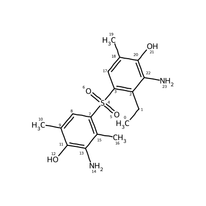 CCc1c(S(=O)(=O)c2cc(C)c(O)c(N)c2C)cc(C)c(O)c1N